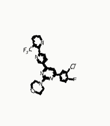 Fc1ccc(-c2cc(-c3ccc(-c4ncccc4C(F)(F)F)nc3)nc(N3CCOCC3)n2)cc1Cl